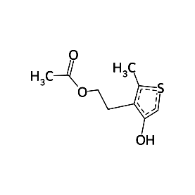 CC(=O)OCCc1c(O)csc1C